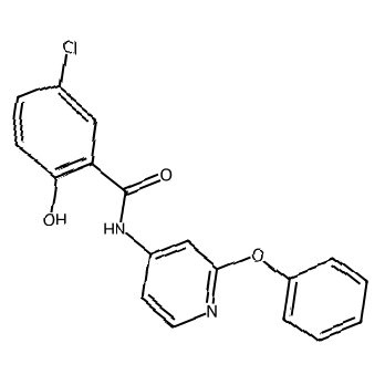 O=C(Nc1ccnc(Oc2ccccc2)c1)c1cc(Cl)ccc1O